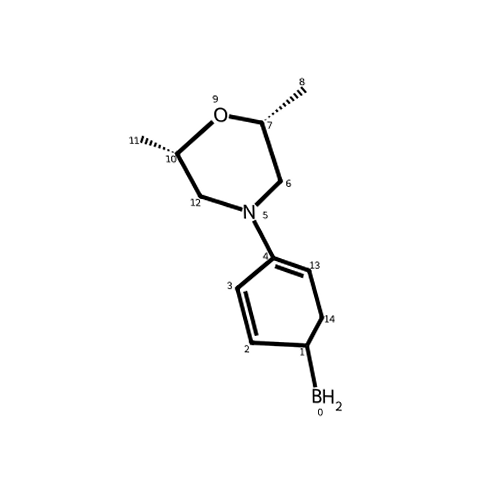 BC1C=CC(N2C[C@@H](C)O[C@@H](C)C2)=CC1